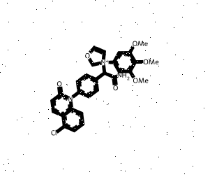 COc1cc([N+]2(C(C(N)=O)c3ccc(-n4c(=O)ccc5c(Cl)cccc54)cc3)C=COC2)cc(OC)c1OC